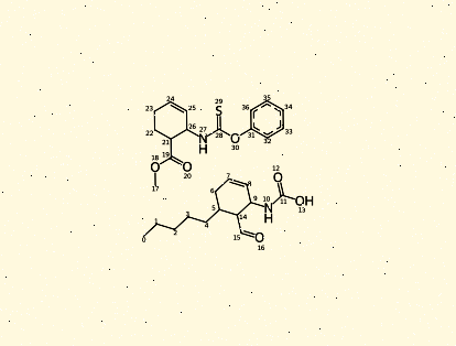 CCCCCC1CC=CC(NC(=O)O)C1C=O.COC(=O)C1CCC=CC1NC(=S)Oc1ccccc1